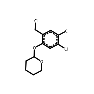 ClCc1cc(Cl)c(Cl)cc1OC1CCCCO1